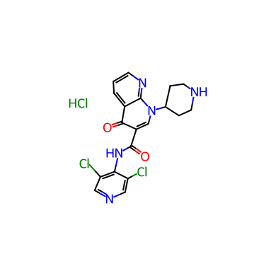 Cl.O=C(Nc1c(Cl)cncc1Cl)c1cn(C2CCNCC2)c2ncccc2c1=O